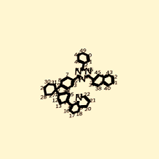 C1=CC(c2nc(-c3ccc(C4(c5ccc(C6=CCCc7cccnc76)cc5)CCCCC4)cc3)nc(-c3ccc4ccccc4c3)n2)=CCC1